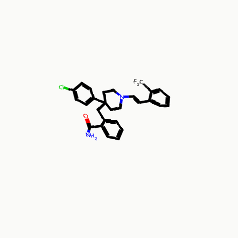 NC(=O)c1ccccc1CC1(c2ccc(Cl)cc2)CCN(C=Cc2ccccc2C(F)(F)F)CC1